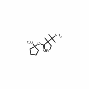 CC(C)(C)CC(C)(C(=O)OC1(C(C)(C)C)CCCC1)C(C)(C)N